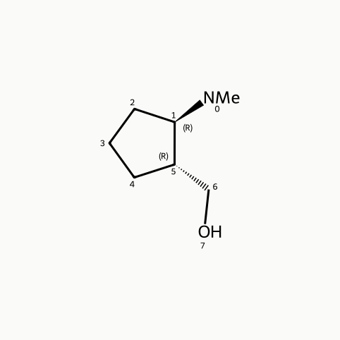 CN[C@@H]1CCC[C@H]1CO